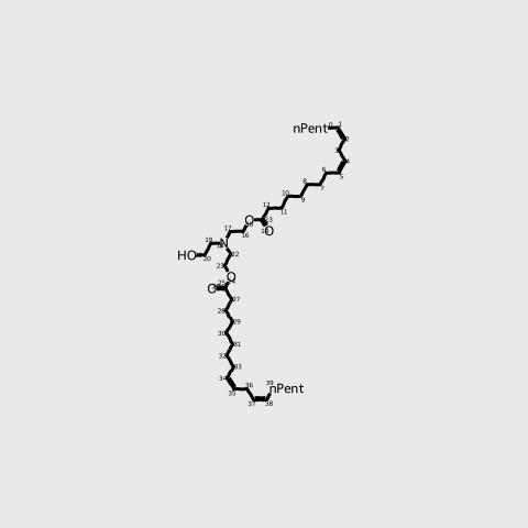 CCCCC/C=C\C/C=C\CCCCCCCC(=O)OCCN(CCO)CCOC(=O)CCCCCCC/C=C\C/C=C\CCCCC